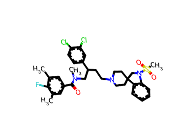 Cc1cc(C(=O)N(C)CC(CCN2CCC3(CC2)CN(S(C)(=O)=O)c2ccccc23)c2ccc(Cl)c(Cl)c2)cc(C)c1F